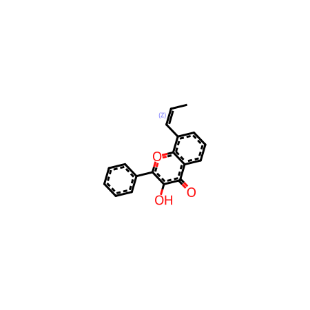 C/C=C\c1cccc2c(=O)c(O)c(-c3ccccc3)oc12